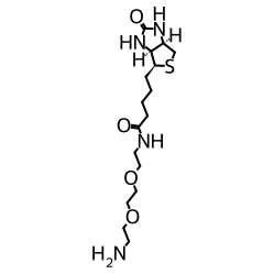 NCCOCCOCCNC(=O)CCCC[C@@H]1SC[C@@H]2NC(=O)N[C@@H]21